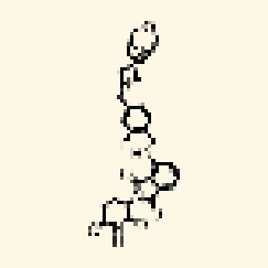 O=C1CCC(N2C(=O)c3cccc(NCc4ccc(CN5CC(N6C7CCC6COC7)C5)cc4F)c3C2=O)C(=O)N1